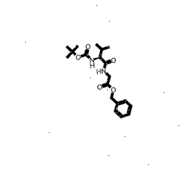 CC(C)[C@H](NC(=O)OC(C)(C)C)C(=O)NCC(=O)OCc1ccccc1